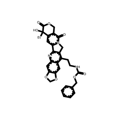 CCC1(O)C(=O)OCc2c1cc1n(c2=O)Cc2c-1nc1cc3c(cc1c2CCNC(=O)OCc1ccccc1)OCO3